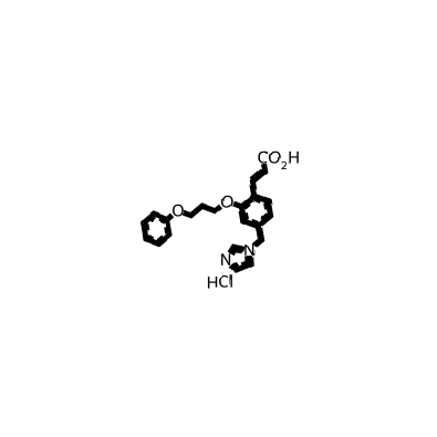 Cl.O=C(O)C=Cc1ccc(Cn2ccnc2)cc1OCCCOc1ccccc1